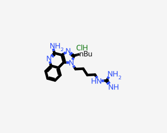 CCCCc1nc2c(N)nc3ccccc3c2n1CCCCNC(=N)N.Cl